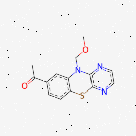 COCN1c2cc(C(C)=O)ccc2Sc2nccnc21